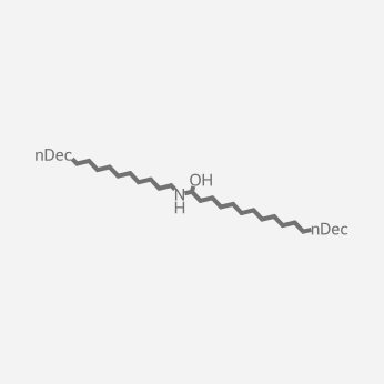 CCCCCCCCCCCCCCCCCCCCCC(O)NCCCCCCCCCCCCCCCCCCCC